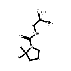 CC1(C)CCCN1C(=O)NCC(N)C(=O)O